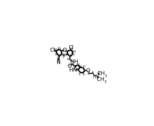 CN(C)CCCOc1ccc2[nH]c(C(=O)NCc3ccc(Cl)c(Oc4cc(Cl)cc(C#N)c4)c3F)cc2c1